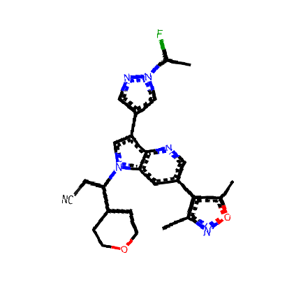 Cc1noc(C)c1-c1cnc2c(-c3cnn(C(C)F)c3)cn(C(CC#N)C3CCOCC3)c2c1